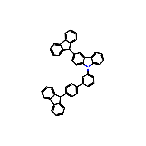 c1cc(-c2ccc(C3c4ccccc4-c4ccccc43)cc2)cc(-n2c3ccccc3c3cc(C4c5ccccc5-c5ccccc54)ccc32)c1